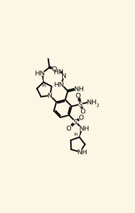 CC(=O)N[C@@H]1CCN(c2ccc(S(=O)(=O)N[C@@H]3CCNC3)c(S(N)(=O)=O)c2C(=N)NN=N)C1